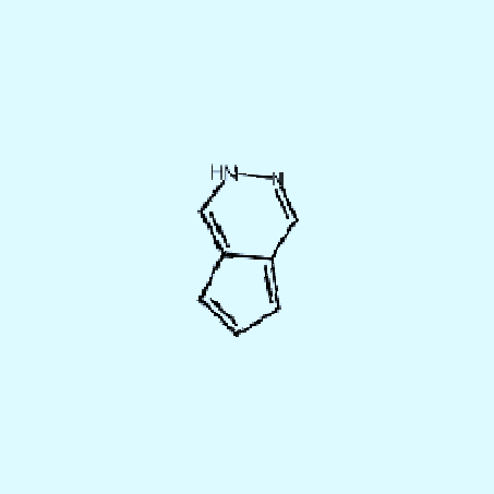 c1cc2cn[nH]cc-2c1